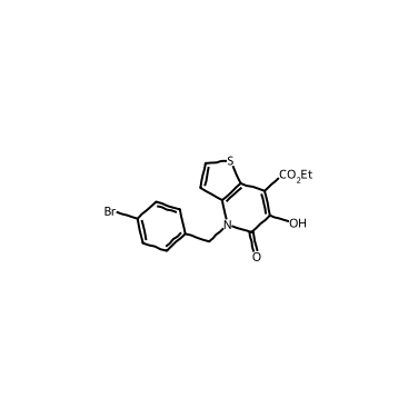 CCOC(=O)c1c(O)c(=O)n(Cc2ccc(Br)cc2)c2ccsc12